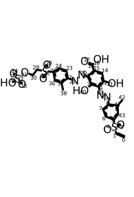 C=CS(=O)(=O)c1ccc(N=Nc2c(O)cc(C(=O)O)c(N=Nc3ccc(S(=O)(=O)CCOS(=O)(=O)O)cc3C)c2O)c(C)c1